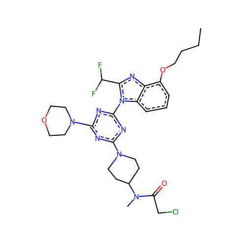 CCCCOc1cccc2c1nc(C(F)F)n2-c1nc(N2CCOCC2)nc(N2CCC(N(C)C(=O)CCl)CC2)n1